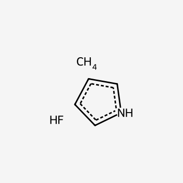 C.F.c1cc[nH]c1